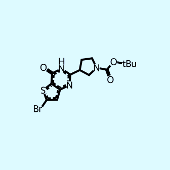 CC(C)(C)OC(=O)N1CCC(c2nc3cc(Br)sc3c(=O)[nH]2)C1